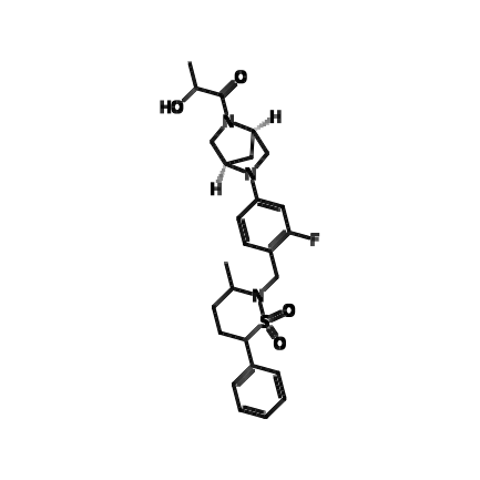 CC(O)C(=O)N1C[C@H]2C[C@@H]1CN2c1ccc(CN2C(C)CCC(c3ccccc3)S2(=O)=O)c(F)c1